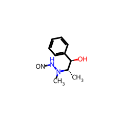 C[C@@H]([C@H](O)c1ccccc1)N(C)NN=O